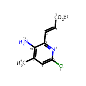 CCOC(=O)/C=C/c1nc(Cl)cc(C)c1N